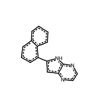 c1ccc2c(-c3cc4nccnc4[nH]3)cccc2c1